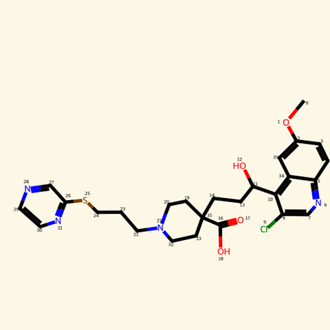 COc1ccc2ncc(Cl)c(C(O)CCC3(C(=O)O)CCN(CCCSc4cnccn4)CC3)c2c1